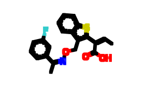 CC=C(C(=O)O)c1sc2ccccc2c1CON=C(C)c1cccc(F)c1